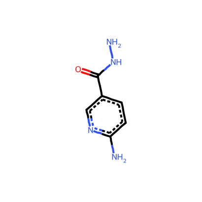 NNC(=O)c1ccc(N)nc1